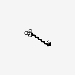 Cl[Si](Cl)(Cl)CCCCCCCCCCc1cccs1